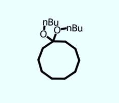 CCCCOC1(OCCCC)CCCCCCCCC1